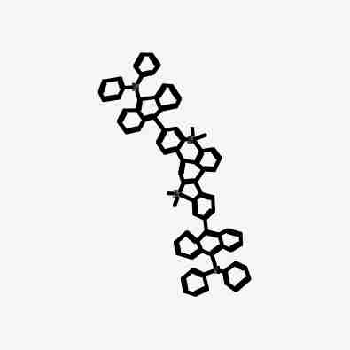 C[Si]1(C)c2cc(-c3c4ccccc4c(N(c4ccccc4)c4ccccc4)c4ccccc34)ccc2-c2c1cc1c3c(cccc23)[Si](C)(C)c2cc(-c3c4ccccc4c(N(c4ccccc4)c4ccccc4)c4ccccc34)ccc2-1